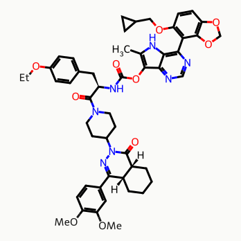 CCOc1ccc(C[C@@H](NC(=O)Oc2c(C)[nH]c3c(-c4c(OCC5CC5)ccc5c4OCO5)ncnc23)C(=O)N2CCC(N3N=C(c4ccc(OC)c(OC)c4)[C@H]4CCCC[C@H]4C3=O)CC2)cc1